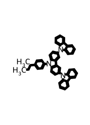 CCC(C)c1ccc(-n2c3ccc(-n4c5ccccc5c5ccccc54)cc3c3cc(-n4c5ccccc5c5ccccc54)ccc32)cc1